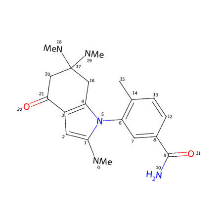 CNc1cc2c(n1-c1cc(C(N)=O)ccc1C)CC(NC)(NC)CC2=O